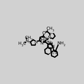 C[C@H](Oc1cc(N2CC[C@H](N(C)C)C2)nc(-c2onc3c2CCC[C@@]32CCCc3sc(N)c(C#N)c32)n1)[C@@H]1CCCN1C